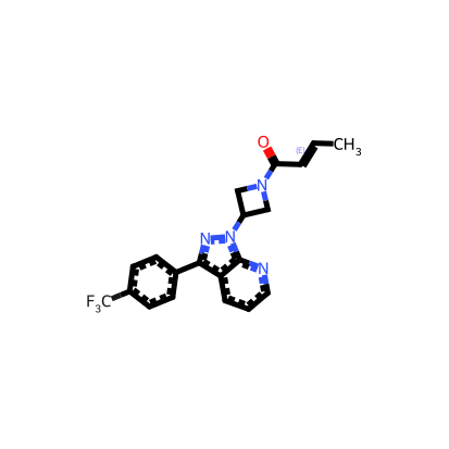 C/C=C/C(=O)N1CC(n2nc(-c3ccc(C(F)(F)F)cc3)c3cccnc32)C1